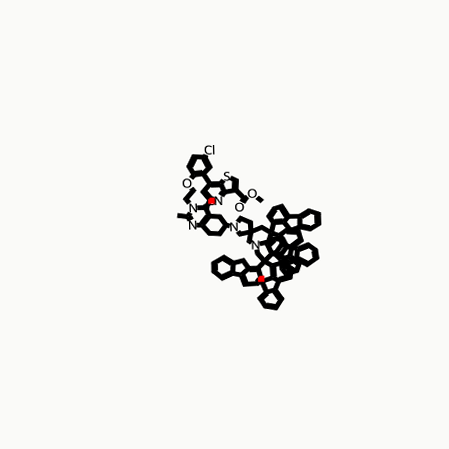 COC(=O)c1csc2c(-c3cc(Cl)ccc3OCCn3c(C)nc4c(c3=O)CC(N3CCC5(CN(CC(c6cccc7c6Cc6ccccc6-7)(c6cccc7c6Cc6ccccc6-7)c6cccc7c6Cc6ccccc6-7)CC(c6cccc7c6Cc6ccccc6-7)(c6cccc7c6Cc6ccccc6-7)C5)C3)CC4)cc(C)nc12